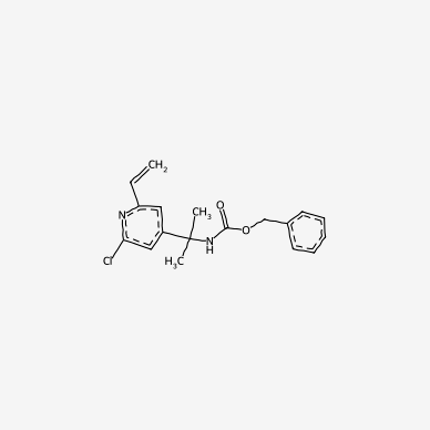 C=Cc1cc(C(C)(C)NC(=O)OCc2ccccc2)cc(Cl)n1